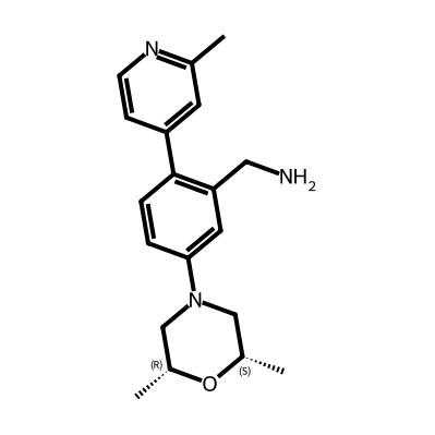 Cc1cc(-c2ccc(N3C[C@@H](C)O[C@@H](C)C3)cc2CN)ccn1